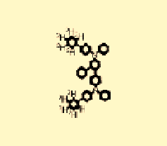 [2H]c1c([2H])c([2H])c(-c2ccc(N(c3ccccc3)c3ccc(-c4ccc(N(c5ccccc5)c5ccc(-c6c([2H])c([2H])c([2H])c([2H])c6[2H])cc5)cc4-c4ccccc4)cc3)cc2)c([2H])c1[2H]